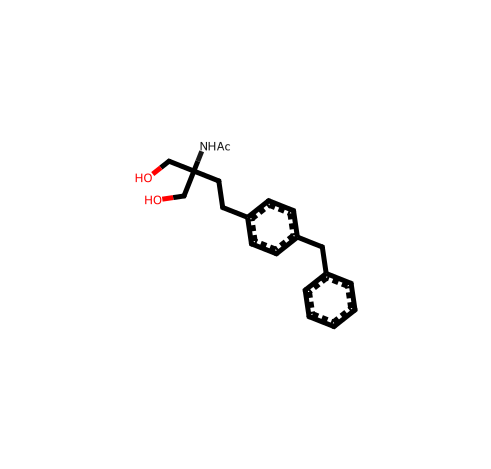 CC(=O)NC(CO)(CO)CCc1ccc(Cc2ccccc2)cc1